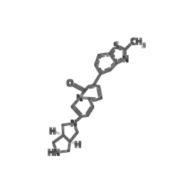 Cc1nc2cc(C3=C\C(=O)N4C=C(N5C[C@H]6CNC[C@H]6C5)C=C\C4=C/C=C/3)ccc2s1